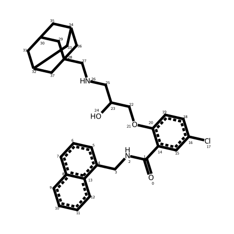 O=C(NCc1cccc2ccccc12)c1cc(Cl)ccc1OCC(O)CNCC12CC3CC(CC(C3)C1)C2